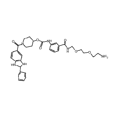 NCCOCCOCNC(=O)c1cccc(NC(=O)OC2CCN(C(=O)c3ccc4c(c3)NC(c3ccccc3)N4)CC2)c1